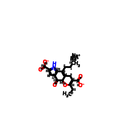 CCCC1=C2CC(C(=O)[O-])=C(CC)OC2C(=O)c2cc(C(=O)[O-])[nH]c21.[Na+].[Na+]